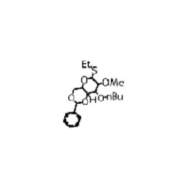 CCCCO[C@@H]1C(OC)[C@H](SCC)OC2COC(c3ccccc3)O[C@H]21